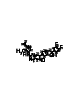 Cc1c(Nc2ncc3cc(Cl)c(C4CCN(C[C@H](O)c5ccc(F)c(F)c5)CC4)cc3n2)cnn1C1CC1